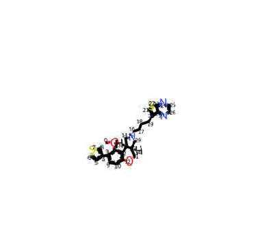 COc1c(-c2ccsc2)ccc2c1[C@@H]1CN(CCCCc3csc4nccnc34)C[C@H]1CO2